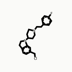 Fc1ccc(CCN2CCC(N3CCc4ccc(CCl)cc43)CC2)cc1